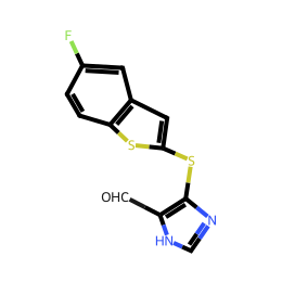 O=Cc1[nH]cnc1Sc1cc2cc(F)ccc2s1